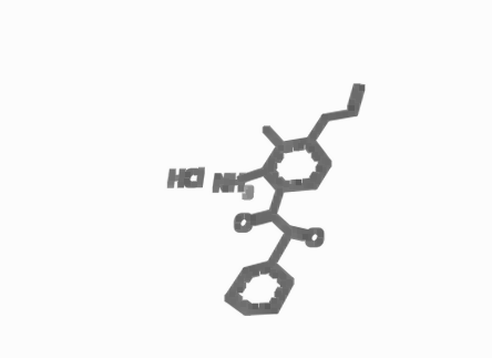 C=CCc1ccc(C(=O)C(=O)c2ccccc2)c(C)c1C.Cl.N